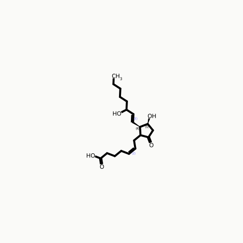 CCCCCC(O)/C=C/[C@@H]1C(C/C=C\CCCC(=O)O)C(=O)C[C@@H]1O